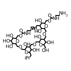 CC(C)CC1OC(COCC2OC(COC(=O)NCCN)C(O)C(O)C2O)C(O)C(COCC2OC(CO)C(O)C(COCC3OC(COC(=O)NCCN)C(O)C(CC(C)C)C3O)C2O)C1O